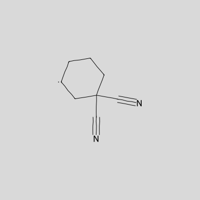 N#CC1(C#N)C[CH]CCC1